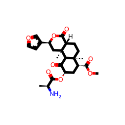 COC(=O)[C@@H]1C[C@H](OC(=O)[C@H](C)N)C(=O)C2[C@@]1(C)CC[C@H]1C(=O)O[C@H](c3ccoc3)C[C@]21C